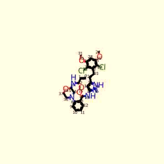 C=CC(=O)NC1CN(c2ccccc2C(=O)Nc2cc(CCc3c(Cl)c(OC)cc(OC)c3Cl)[nH]n2)CCO1